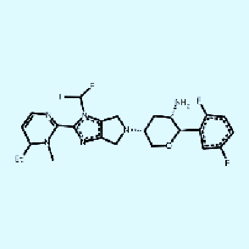 CCC1C=CN=C(c2nc3c(n2C(F)F)CN([C@H]2CO[C@H](c4cc(F)ccc4F)[C@@H](N)C2)C3)N1C